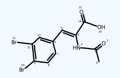 CC(=O)NC(=Cc1ccc(Br)c(Br)c1)C(=O)O